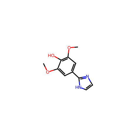 COc1cc(-c2ncc[nH]2)cc(OC)c1O